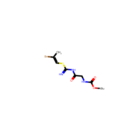 C/C(Br)=C\SC(=N)NC(=O)CNC(=O)OC(C)(C)C